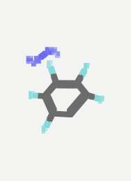 Fc1cc(F)c(F)c(F)c1F.NN